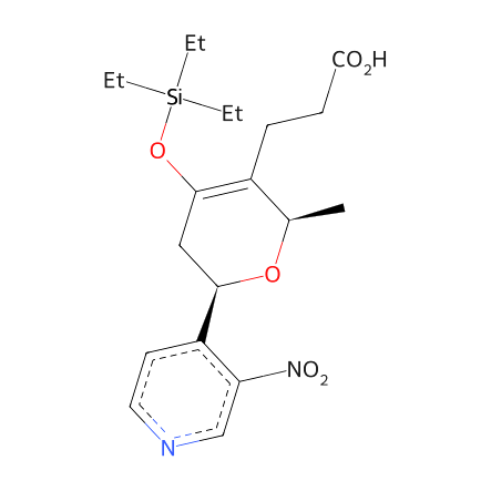 CC[Si](CC)(CC)OC1=C(CCC(=O)O)[C@@H](C)O[C@@H](c2ccncc2[N+](=O)[O-])C1